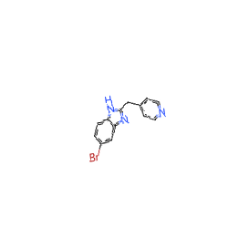 Brc1ccc2[nH]c(Cc3ccncc3)nc2c1